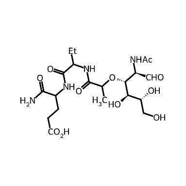 CCC(NC(=O)C(C)O[C@@H]([C@H](O)[C@H](O)CO)[C@H](C=O)NC(C)=O)C(=O)NC(CCC(=O)O)C(N)=O